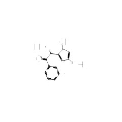 CC1=CC(Cl)C(C(C)C(=O)c2ccccc2)=C1